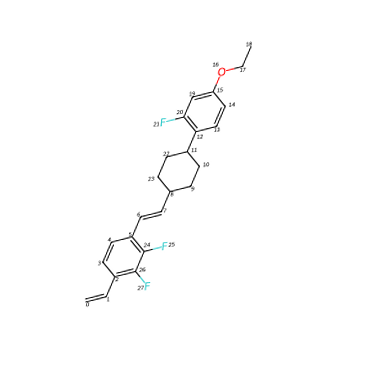 C=Cc1ccc(/C=C/C2CCC(c3ccc(OCC)cc3F)CC2)c(F)c1F